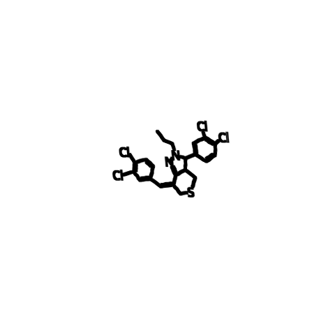 CCCN1N=C2/C(=C\c3ccc(Cl)c(Cl)c3)CSCC2C1c1ccc(Cl)c(Cl)c1